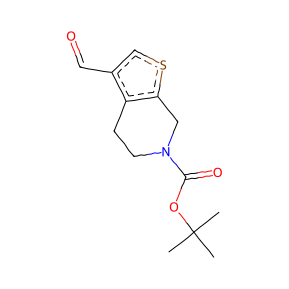 CC(C)(C)OC(=O)N1CCc2c(C=O)csc2C1